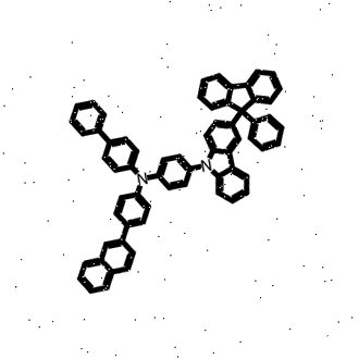 c1ccc(-c2ccc(N(c3ccc(-c4ccc5ccccc5c4)cc3)c3ccc(-n4c5ccccc5c5cc(C6(c7ccccc7)c7ccccc7-c7ccccc76)ccc54)cc3)cc2)cc1